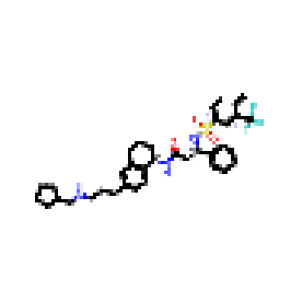 C=C/C(=C\C(=C/C)S(=O)(=O)N[C@H](CC(=O)N[C@@H]1CCCc2cc(CCCNCC3CCCC3)ccc21)c1ccccc1)C(F)(F)F